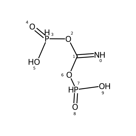 N=C(O[PH](=O)O)O[PH](=O)O